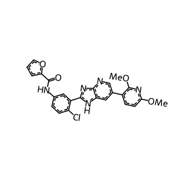 COc1ccc(-c2cnc3nc(-c4cc(NC(=O)c5ccco5)ccc4Cl)[nH]c3c2)c(OC)n1